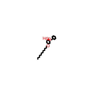 CCCCCCCCCCCCOC1=CCC(O)(OCc2ccccc2)C=C1